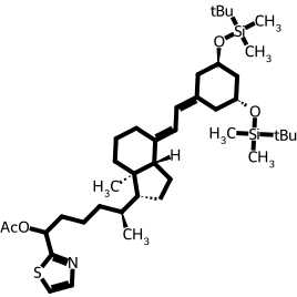 CC(=O)OC(CCC[C@H](C)[C@H]1CC[C@H]2/C(=C/C=C3C[C@@H](O[Si](C)(C)C(C)(C)C)C[C@H](O[Si](C)(C)C(C)(C)C)C3)CCC[C@]12C)c1nccs1